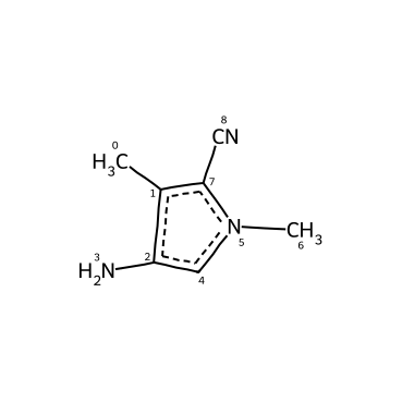 Cc1c(N)cn(C)c1C#N